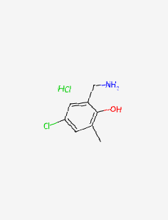 Cc1cc(Cl)cc(CN)c1O.Cl